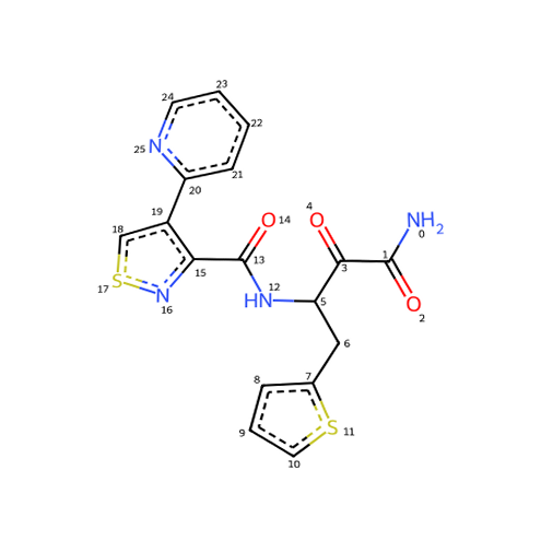 NC(=O)C(=O)C(Cc1cccs1)NC(=O)c1nscc1-c1ccccn1